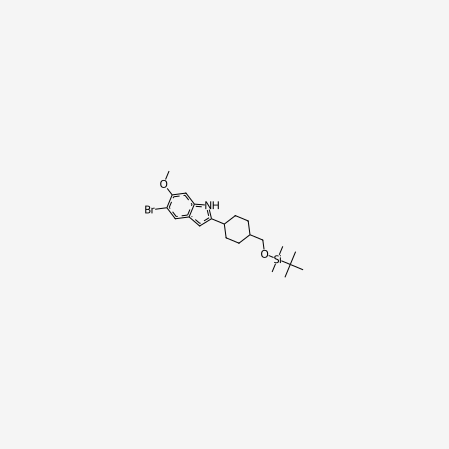 COc1cc2[nH]c(C3CCC(CO[Si](C)(C)C(C)(C)C)CC3)cc2cc1Br